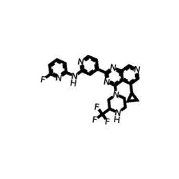 Fc1cccc(Nc2cc(-c3nc(N4CCNC(C(F)(F)F)C4)c4c(C5CC5)cncc4n3)ccn2)n1